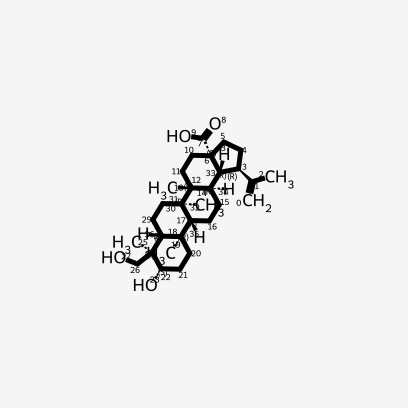 C=C(C)[C@@H]1CC[C@]2(C(=O)O)CC[C@]3(C)[C@H](CC[C@@H]4[C@@]5(C)CC[C@H](O)[C@@](C)(CO)[C@@H]5CC[C@]43C)[C@@H]12